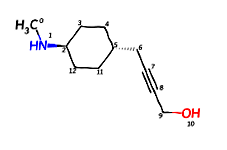 CN[C@H]1CC[C@H](CC#CCO)CC1